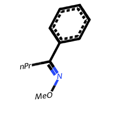 CCCC(=NOC)c1ccccc1